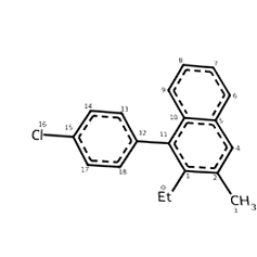 CCc1c(C)cc2ccccc2c1-c1ccc(Cl)cc1